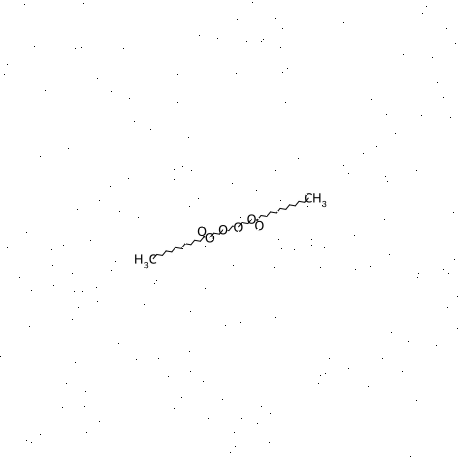 CCCCCCCCCCCC(=O)OCCOCCOCCOC(=O)CCCCCCCCCCC